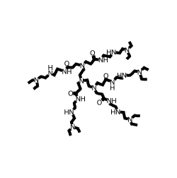 CCN(CC)CCNCCNC(=O)CCN(CCC(=O)NCCNCCN(CC)CC)CCN(CCC(=O)NCCNCCN(CC)CC)CCN(CCC(=O)NCCNCCN(CC)CC)CCC(=O)NCCNCCN(CC)CC